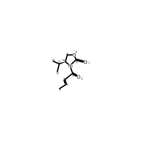 CC=CC(=O)N1C(=O)OC[C@@H]1C(C)C